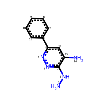 NNc1nnc(-c2ccccc2)cc1N